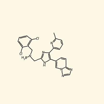 BN(Cc1nc(-c2cccc(C)n2)c(-c2ccc3ncnn3c2)[nH]1)Cc1c(Cl)cccc1Cl